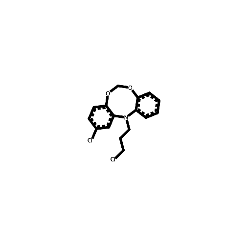 ClCCCN1c2ccccc2OCOc2ccc(Cl)cc21